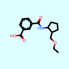 CCOCC1CCCC1NC(=O)c1cccc(C(=O)O)c1